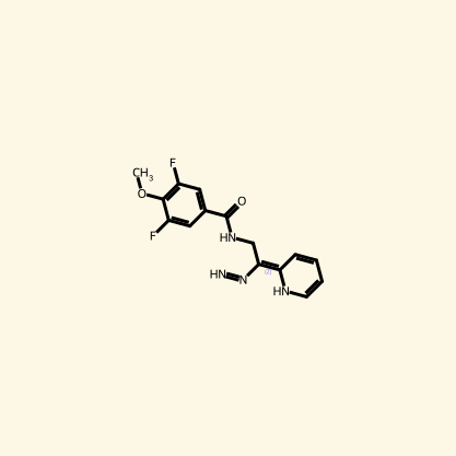 COc1c(F)cc(C(=O)NC/C(N=N)=C2\C=CC=CN2)cc1F